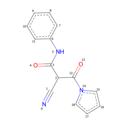 N#CC(C(=O)Nc1ccccc1)C(=O)n1cccc1